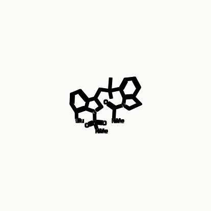 CNC(=O)N1CCc2cccc(C(C)(C)CC3CN(S(=O)(=O)NC)c4c3cccc4C(C)(C)C)c21